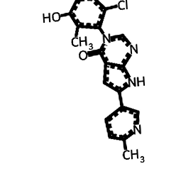 Cc1ccc(-c2cc3c(=O)n(-c4c(Cl)ccc(O)c4C)cnc3[nH]2)cn1